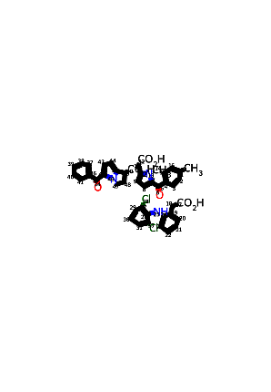 Cc1ccc(C(=O)c2ccc(CC(=O)O)n2C)cc1.O=C(O)Cc1ccccc1Nc1c(Cl)cccc1Cl.O=C(c1ccccc1)c1ccc2n1CCC2C(=O)O